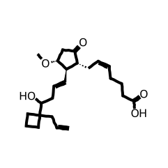 C=CCC1(C(O)C/C=C/[C@H]2[C@H](OC)CC(=O)[C@@H]2C/C=C\CCCC(=O)O)CCC1